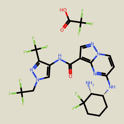 N[C@@H]1[C@H](Nc2ccn3ncc(C(=O)Nc4cn(CC(F)(F)F)nc4C(F)(F)F)c3n2)CCCC1(F)F.O=C(O)C(F)(F)F